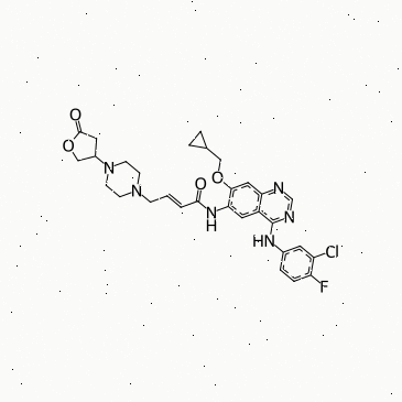 O=C(C=CCN1CCN(C2COC(=O)C2)CC1)Nc1cc2c(Nc3ccc(F)c(Cl)c3)ncnc2cc1OCC1CC1